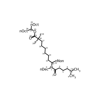 CCCCCCCCCCN(C(=O)CCCN(C)C)C(CCCCCCCCC)CCCCCCC(F)(F)C(=O)OC(CCCCCCCC)CCCCCCCC